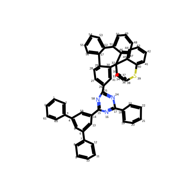 c1ccc(-c2cc(-c3ccccc3)cc(-c3nc(-c4ccccc4)nc(-c4ccc5c(c4)C4(c6ccccc6Sc6ccccc64)c4ccccc4-c4ccccc4-5)n3)c2)cc1